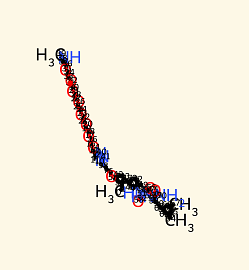 CCc1cc(OCCCCn2cc(COCCOCCOCCOCCOCCOCCOCCOCCNC)nn2)ccc1-c1ccc(C[C@H](NC=O)C(=O)NC(CCCc2cc(C)cc(C)c2)C(N)=O)cc1